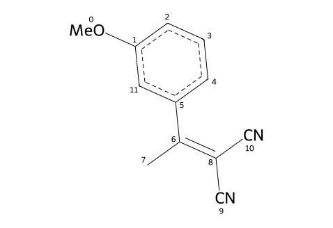 COc1cccc(C(C)=C(C#N)C#N)c1